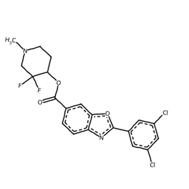 CN1CCC(OC(=O)c2ccc3nc(-c4cc(Cl)cc(Cl)c4)oc3c2)C(F)(F)C1